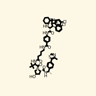 Cc1ncsc1-c1ccc([C@H](C)NC(=O)[C@@H]2C[C@@H](O)CN2C(=O)C(NC(=O)CCCCNC(=O)c2ccc(NC(=O)[C@@H]3NC4(CCCCC4)[C@@]4(C(=O)Nc5cc(Cl)ccc54)[C@H]3c3cccc(Cl)c3F)cc2)C(C)(C)C)cc1